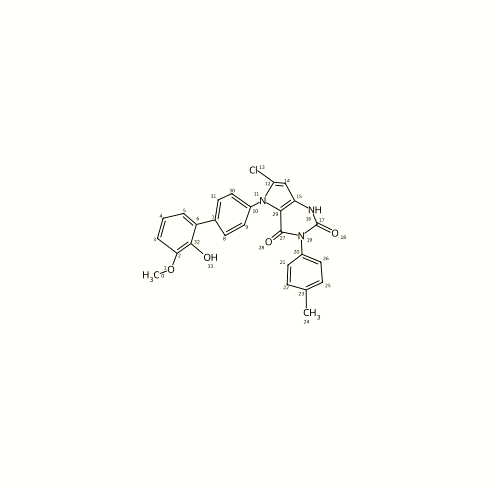 COc1cccc(-c2ccc(-n3c(Cl)cc4[nH]c(=O)n(-c5ccc(C)cc5)c(=O)c43)cc2)c1O